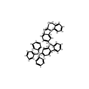 c1ccc([Si](c2ccccc2)(c2ccccc2)c2ccc3c4ccccc4n(-c4ccc5nc6n(c5c4)-c4ccccc4CO6)c3c2)cc1